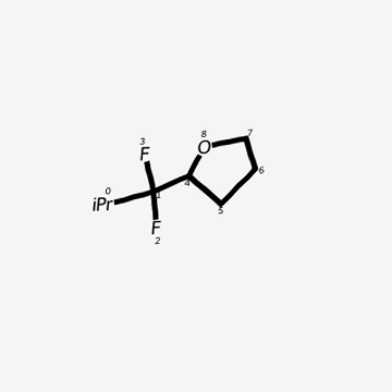 CC(C)C(F)(F)C1CCCO1